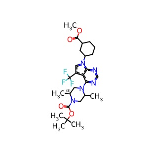 COC(=O)C1CCCC(n2cc(C(F)(F)F)c3c(N4C[C@H](C)N(C(=O)OC(C)(C)C)CC4C)ncnc32)C1